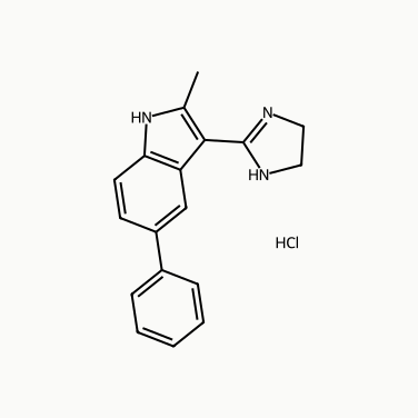 Cc1[nH]c2ccc(-c3ccccc3)cc2c1C1=NCCN1.Cl